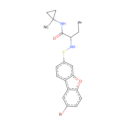 CC(C)CC(NSc1ccc2c(c1)oc1ccc(Br)cc12)C(=O)NC1(C#N)CC1